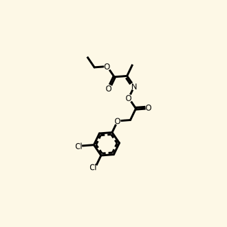 CCOC(=O)C(C)=NOC(=O)COc1ccc(Cl)c(Cl)c1